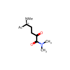 CN[C@@H](CCC(=O)C(=O)N(C)C)C(C)=O